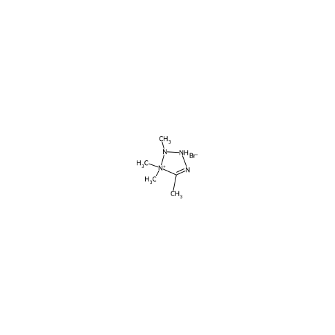 CC1=NNN(C)[N+]1(C)C.[Br-]